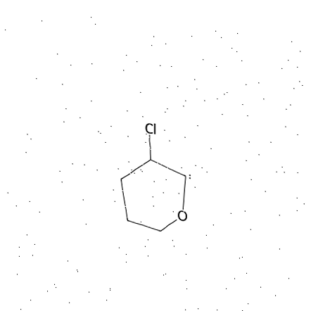 ClC1[C]OCCC1